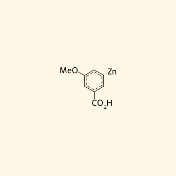 COc1cccc(C(=O)O)c1.[Zn]